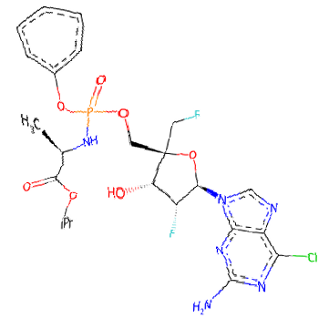 CC(C)OC(=O)[C@@H](C)NP(=O)(OC[C@@]1(CF)O[C@@H](n2cnc3c(Cl)nc(N)nc32)[C@H](F)[C@@H]1O)Oc1ccccc1